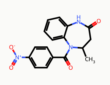 CC1CC(=O)Nc2ccccc2N1C(=O)c1ccc([N+](=O)[O-])cc1